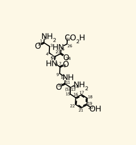 NC(=O)CC[C@H](NC(=O)CNC(=O)[C@@H](N)Cc1ccc(O)cc1)C(=O)NCC(=O)O